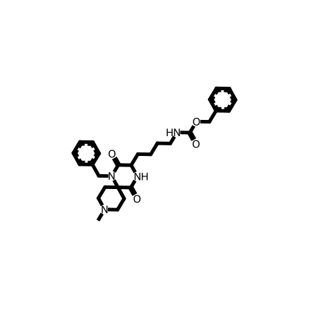 CN1CCC2(CC1)C(=O)NC(CCCCNC(=O)OCc1ccccc1)C(=O)N2Cc1ccccc1